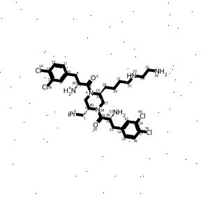 CC(C)C[C@@H]1CN(C(=O)[C@H](N)Cc2ccc(Cl)c(Cl)c2)[C@@H](CCCCNCCN)CN1C(=O)[C@H](N)Cc1ccc(Cl)c(Cl)c1